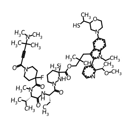 CC[C@H](NC(=O)[C@H](C(C)C)N(C)C(=O)C1(F)CCN(C(=O)C#CC(C)(C)N(C)C)CC1)C(=O)N1CCC[C@]([SiH3])(C(=O)OCC(C)(C)Cc2c(-c3cccnc3[C@H](C)OC)n(CC)c3ccc(N4CCOC(C(C)S)C4)cc23)N1